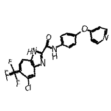 O=C(Nc1ccc(Oc2ccncc2)cc1)c1nc2cc(Cl)c(C(F)(F)F)cc2[nH]1